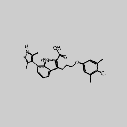 Cc1cc(OCCCc2c(C(=O)O)[nH]c3c(-c4c(C)n[nH]c4C)cccc23)cc(C)c1Cl